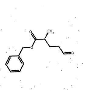 C[C@@H](CCC=O)C(=O)OCc1ccccc1